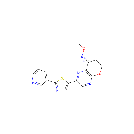 CCO/N=C1\CCOc2ncc(-c3cnc(-c4cccnc4)s3)nc21